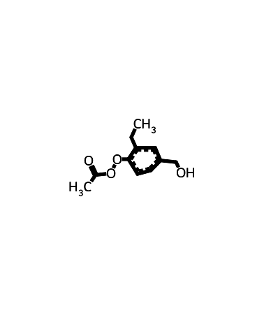 CCc1cc(CO)ccc1OOC(C)=O